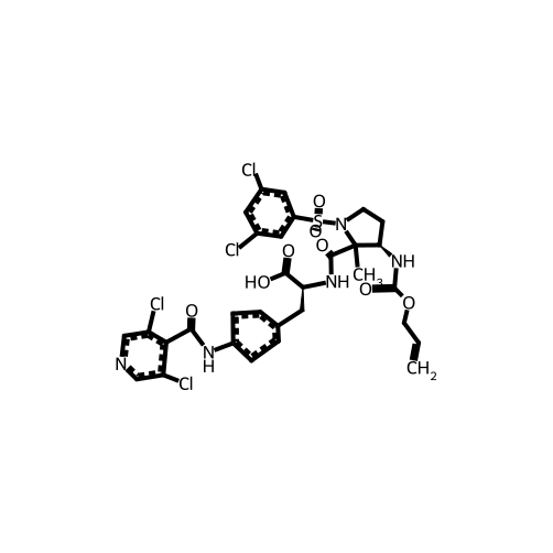 C=CCOC(=O)N[C@@H]1CCN(S(=O)(=O)c2cc(Cl)cc(Cl)c2)C1(C)C(=O)N[C@@H](Cc1ccc(NC(=O)c2c(Cl)cncc2Cl)cc1)C(=O)O